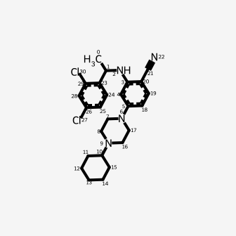 CC(Nc1cc(N2CCN(C3CCCCC3)CC2)ccc1C#N)c1ccc(Cl)cc1Cl